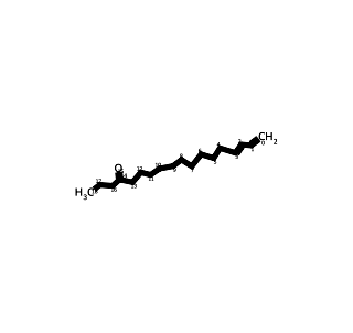 C=CC=CCCCCCCCCCCC(=O)CCC